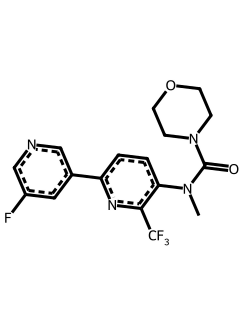 CN(C(=O)N1CCOCC1)c1ccc(-c2cncc(F)c2)nc1C(F)(F)F